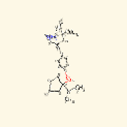 CC(C)C1(Oc2ccc(C(CN)CC(C)(C)C)cc2)CCCC1